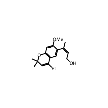 CCC1=CC(C)(C)Oc2cc(OC)c(/C(C)=C\CO)cc21